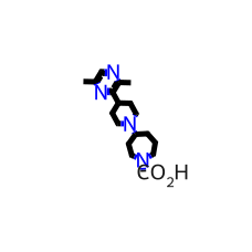 Cc1cnc(C)c(C2CCN(C3CCCN(C(=O)O)CC3)CC2)n1